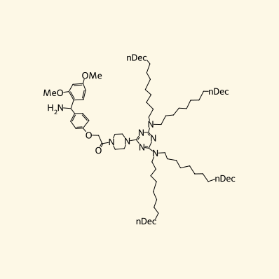 CCCCCCCCCCCCCCCCCCN(CCCCCCCCCCCCCCCCCC)c1nc(N(CCCCCCCCCCCCCCCCCC)CCCCCCCCCCCCCCCCCC)nc(N2CCN(C(=O)COc3ccc(C(N)c4ccc(OC)cc4OC)cc3)CC2)n1